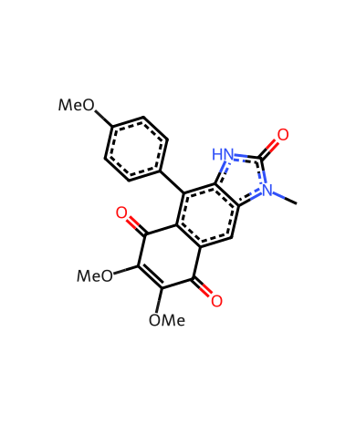 COC1=C(OC)C(=O)c2c(cc3c([nH]c(=O)n3C)c2-c2ccc(OC)cc2)C1=O